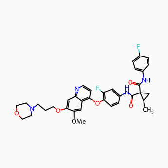 COc1cc2c(Oc3ccc(NC(=O)C4(C(=O)Nc5ccc(F)cc5)C[C@H]4C)cc3F)ccnc2cc1OCCCN1CCOCC1